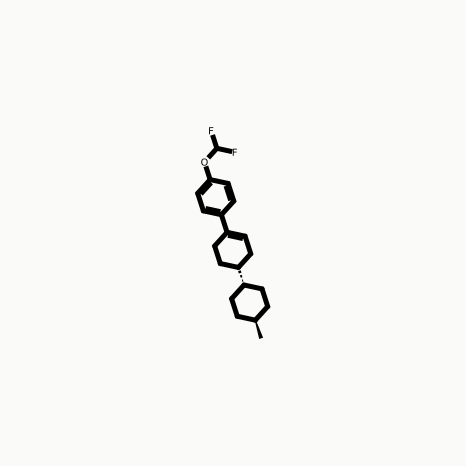 C[C@H]1CC[C@H](C2CC=C(c3ccc(OC(F)F)cc3)CC2)CC1